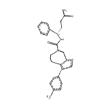 NC(=O)CC[C@H](NC(=O)N1CCc2c(-c3ccc(C(F)(F)F)cc3)csc2C1)c1ccccc1